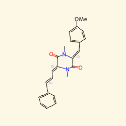 COc1ccc(/C=c2/c(=O)n(C)/c(=C\C=C\c3ccccc3)c(=O)n2C)cc1